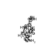 C[C@@H](O[C@@H](CF)COP(=O)(S)O[C@@H]1C[C@@H](COP(=O)(O)S)S[C@H]1n1cnc2c(=O)[nH]c(N)nc21)n1ccc2c(N)ncnc21